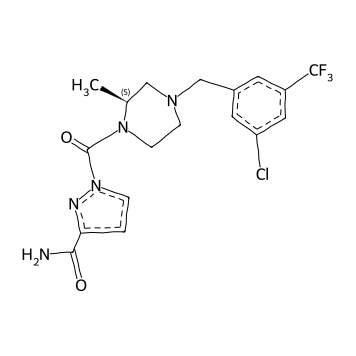 C[C@H]1CN(Cc2cc(Cl)cc(C(F)(F)F)c2)CCN1C(=O)n1ccc(C(N)=O)n1